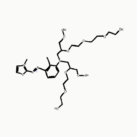 CCCCOCC(CN(CC(COCCCC)OCCOCCOCCO)c1cccc(/N=N/c2scc[n+]2C)c1C)OCCOCCO